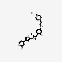 CN1CCN(CCOc2ccc(CC(=O)Nc3cc(-c4ccnc(F)c4)cs3)c(Cl)c2)CC1